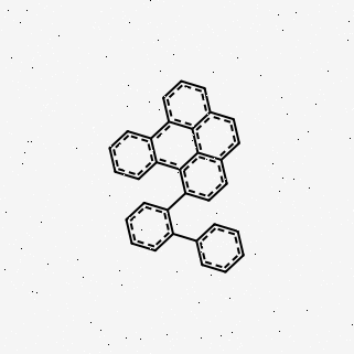 c1ccc(-c2ccccc2-c2ccc3ccc4cccc5c6ccccc6c2c3c45)cc1